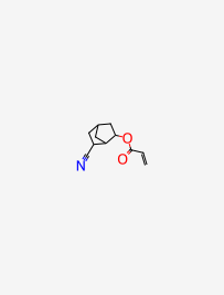 C=CC(=O)OC1CC2CC(C#N)C1C2